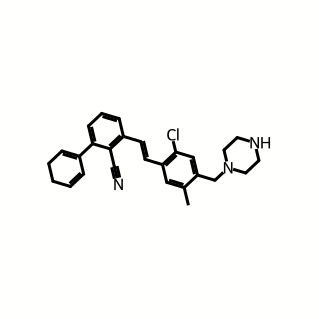 Cc1cc(/C=C/c2cccc(C3=CCCC=C3)c2C#N)c(Cl)cc1CN1CCNCC1